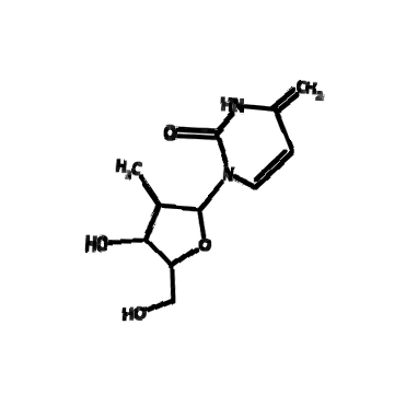 C=C1C=CN(C2OC(CO)C(O)C2C)C(=O)N1